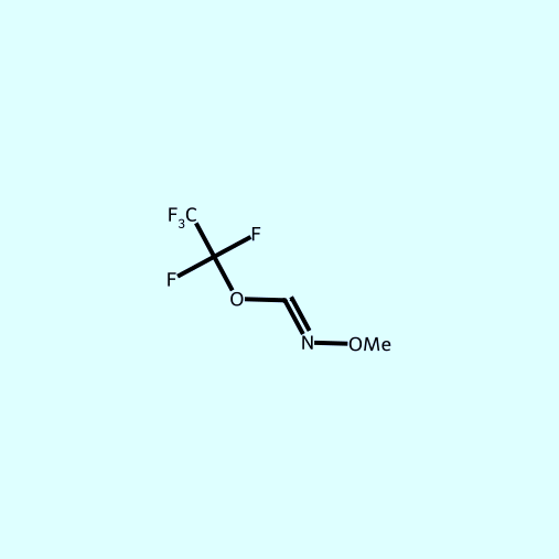 CO/N=[C]/OC(F)(F)C(F)(F)F